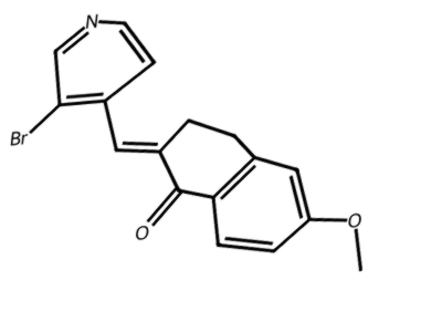 COc1ccc2c(c1)CC/C(=C\c1ccncc1Br)C2=O